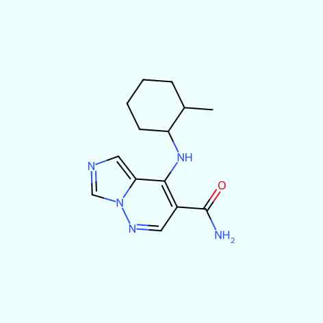 CC1CCCCC1Nc1c(C(N)=O)cnn2cncc12